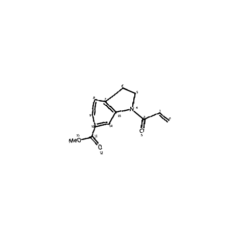 C=CC(=O)N1CCc2ccc(C(=O)OC)cc21